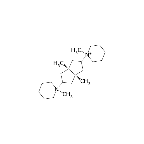 C[N+]1(C2C[C@]3(C)CC([N+]4(C)CCCCC4)C[C@]3(C)C2)CCCCC1